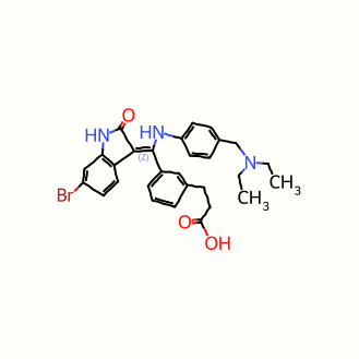 CCN(CC)Cc1ccc(N/C(=C2\C(=O)Nc3cc(Br)ccc32)c2cccc(CCC(=O)O)c2)cc1